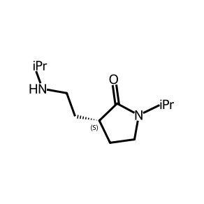 CC(C)NCC[C@H]1CCN(C(C)C)C1=O